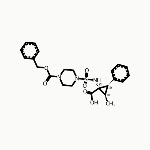 C[C@@H]1[C@@H](c2ccccc2)[C@]1(NS(=O)(=O)N1CCN(C(=O)OCc2ccccc2)CC1)C(=O)O